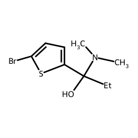 CCC(O)(c1ccc(Br)s1)N(C)C